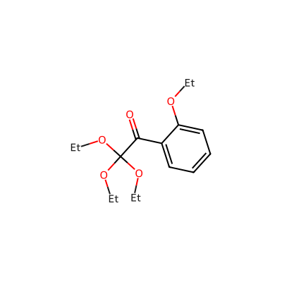 CCOc1ccccc1C(=O)C(OCC)(OCC)OCC